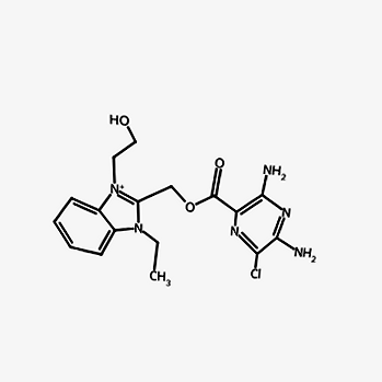 CCn1c(COC(=O)c2nc(Cl)c(N)nc2N)[n+](CCO)c2ccccc21